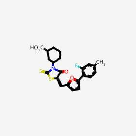 Cc1ccc(-c2ccc(C=C3SC(=S)N(C4CCCC(C(=O)O)C4)C3=O)o2)c(F)c1